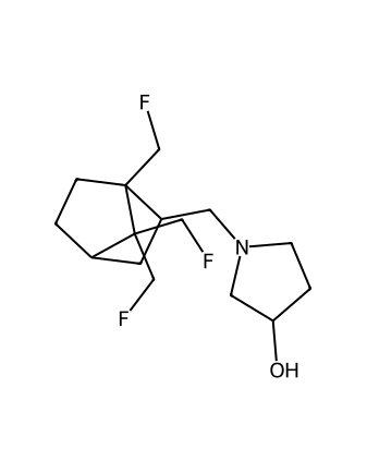 OC1CCN(CC2CC3CCC2(CF)C3(CF)CF)C1